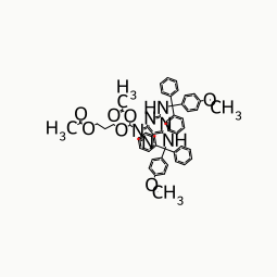 COc1ccc(C(Nc2nc(NC(c3ccccc3)(c3ccccc3)c3ccc(OC)cc3)c3ncn(C(OCCCOC(C)=O)OC(C)=O)c3n2)(c2ccccc2)c2ccccc2)cc1